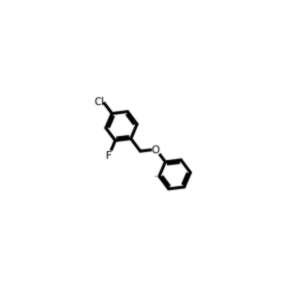 Fc1cc(Cl)ccc1COc1[c]cccc1